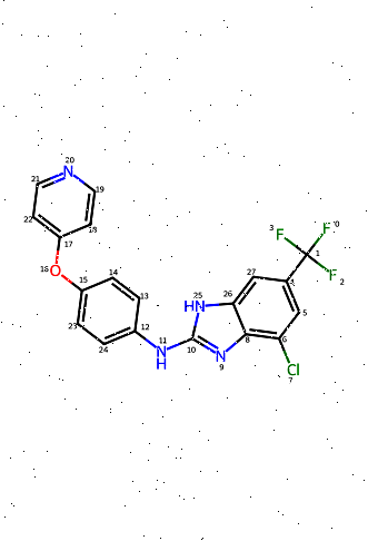 FC(F)(F)c1cc(Cl)c2nc(Nc3ccc(Oc4ccncc4)cc3)[nH]c2c1